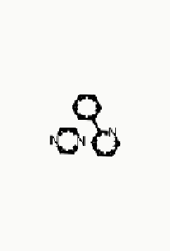 c1ccc(-c2ccccn2)cc1.c1cnccn1